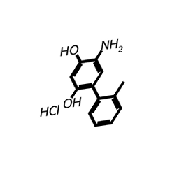 Cc1ccccc1-c1cc(N)c(O)cc1O.Cl